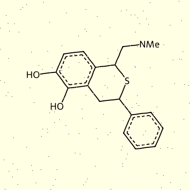 CNCC1SC(c2ccccc2)Cc2c1ccc(O)c2O